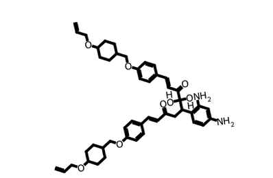 C=CCOC1CCC(COc2ccc(C=CC(=O)CC(c3ccc(N)cc3N)C(O)(O)C(=O)C=Cc3ccc(OCC4CCC(OCC=C)CC4)cc3)cc2)CC1